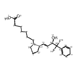 O=C(O)CCCCCCN1CCC[C@@H]1/C=C/[C@@H](O)C(F)(F)c1ccccc1